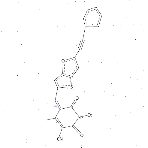 CCN1C(=O)C(C#N)=C(C)/C(=C/c2cc3oc(C#Cc4ccccc4)cc3s2)C1=O